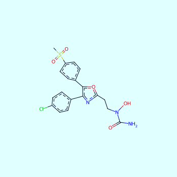 CS(=O)(=O)c1ccc(-c2oc(CCN(O)C(N)=O)nc2-c2ccc(Cl)cc2)cc1